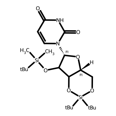 CC(C)(C)[Si](C)(C)OC1C2O[Si](C(C)(C)C)(C(C)(C)C)OC[C@H]2O[C@H]1n1ccc(=O)[nH]c1=O